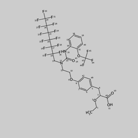 CCOC(Cc1ccc(OCCN(CC(F)(F)C(F)(F)C(F)(F)C(F)(F)C(F)(F)C(F)(F)F)C(=O)Nc2ccccc2OC(F)(F)F)cc1)C(=O)O